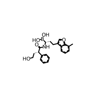 Cc1cccc2c(CC[C@H](NC(=O)[C@@H](CCO)c3ccccc3)B(O)O)coc12